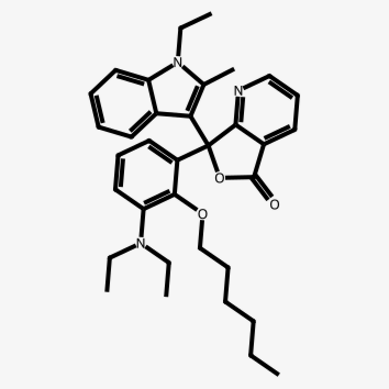 CCCCCCOc1c(N(CC)CC)cccc1C1(c2c(C)n(CC)c3ccccc23)OC(=O)c2cccnc21